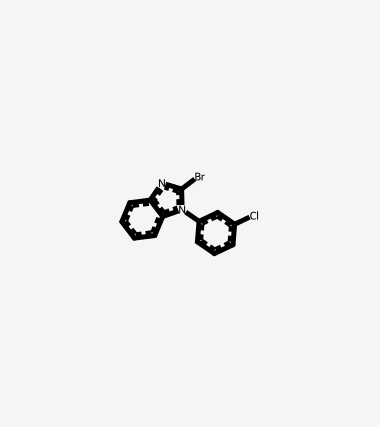 Clc1cccc(-n2c(Br)nc3ccccc32)c1